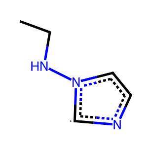 CCNn1[c]ncc1